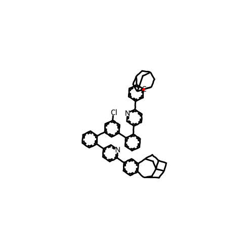 Clc1cc(-c2ccccc2-c2ccc(-c3ccc4c(c3)C3CC5CC(CC4C5)C3)nc2)cc(-c2ccccc2-c2ccc(-c3ccc4c(c3)C3CC5CC6CC4CC65C3)nc2)c1